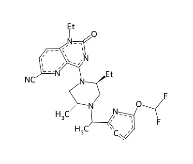 CC[C@H]1CN(C(C)c2cccc(OC(F)F)n2)[C@H](C)CN1c1nc(=O)n(CC)c2ccc(C#N)nc12